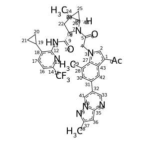 CC(=O)c1cn(CC(=O)N2[C@H](C(=O)Nc3nc(C(F)(F)F)ccc3C3CC3)C[C@@]3(C)C[C@@H]23)c2c(C)cc(-c3cnc4cc(C)nn4c3)cc12